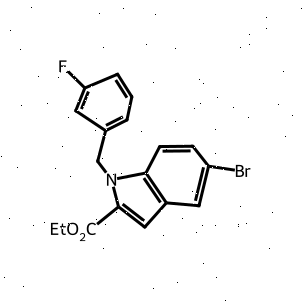 CCOC(=O)c1cc2cc(Br)ccc2n1Cc1cccc(F)c1